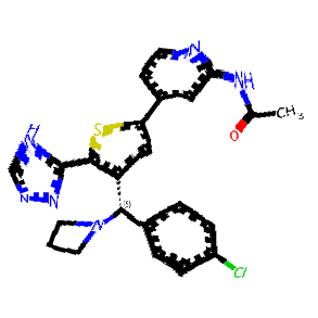 CC(=O)Nc1cc(-c2cc([C@H](c3ccc(Cl)cc3)N3CCC3)c(-c3nnc[nH]3)s2)ccn1